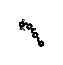 Nc1ccc(Cl)c(CN2CCN(C(=O)CN3CCN(CCc4ccccc4)CC3)CC2)c1